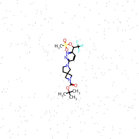 CC(C)(C)OC(=O)N1CC2(CCN(c3ccc(C(OS(C)(=O)=O)C(F)(F)F)nn3)C2)C1